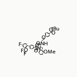 COc1cccc2c1CC(C(=O)NCCOc1ccc(C(=O)OC(C)(C)C)cc1)N2S(=O)(=O)c1ccc(-c2ccc(F)cc2OC(F)F)cc1